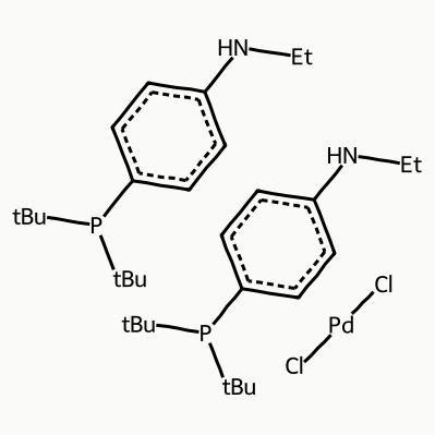 CCNc1ccc(P(C(C)(C)C)C(C)(C)C)cc1.CCNc1ccc(P(C(C)(C)C)C(C)(C)C)cc1.[Cl][Pd][Cl]